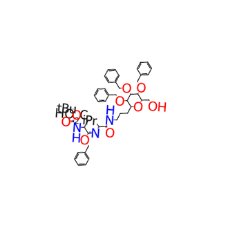 CC(C)C(N=C(OCc1ccccc1)C(CC(=O)O)NC(=O)OC(C)(C)C)C(=O)NCCCC1OC(CO)C(OCc2ccccc2)C(OCc2ccccc2)C1OCc1ccccc1